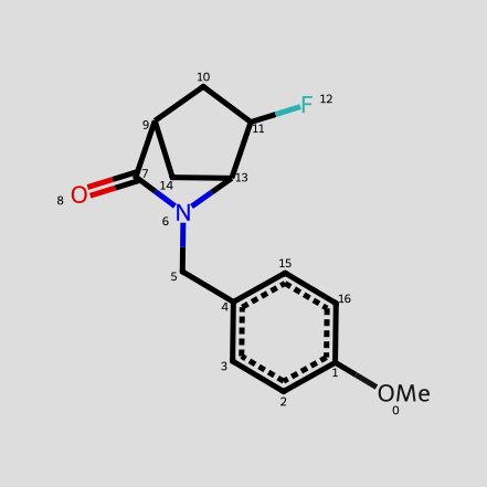 COc1ccc(CN2C(=O)C3CC(F)C2C3)cc1